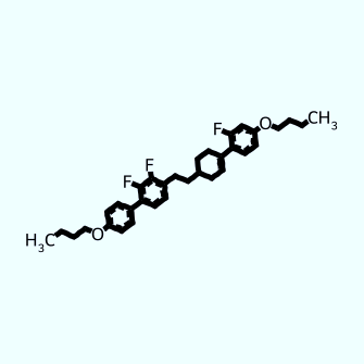 CCCCOc1ccc(-c2ccc(CCC3CC=C(c4ccc(OCCCC)cc4F)CC3)c(F)c2F)cc1